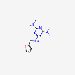 CN(C)c1nc(NCc2ccco2)nc(N(C)C)n1